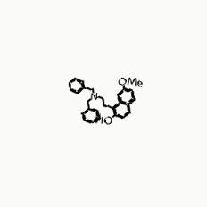 COc1ccc2ccc(O)c(CCN(Cc3ccccc3)Cc3ccccc3)c2c1